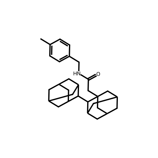 Cc1ccc(CNC(=O)CC23CC4CC(CC(C4)C2C2C4CC5CC(C4)CC2C5)C3)cc1